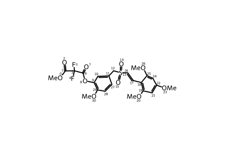 COC(=O)C(F)(F)C(=O)Oc1cc(CS(=O)(=O)C=Cc2c(OC)cc(OC)cc2OC)ccc1OC